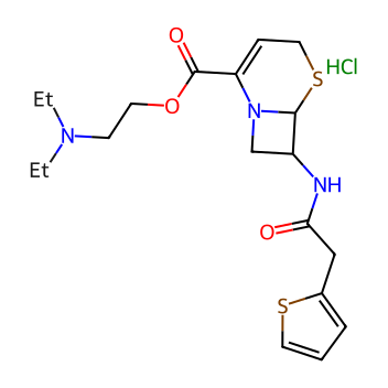 CCN(CC)CCOC(=O)C1=CCSC2C(NC(=O)Cc3cccs3)CN12.Cl